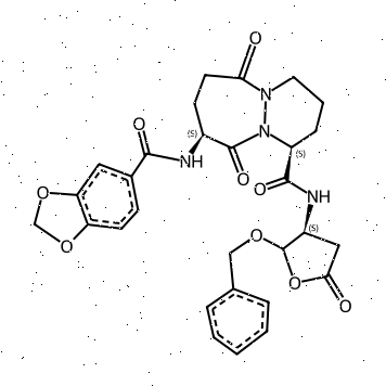 O=C1C[C@H](NC(=O)[C@@H]2CCCN3C(=O)CC[C@H](NC(=O)c4ccc5c(c4)OCO5)C(=O)N23)C(OCc2ccccc2)O1